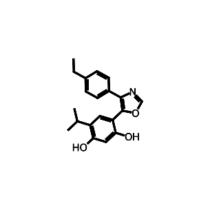 CCc1ccc(-c2ncoc2-c2cc(C(C)C)c(O)cc2O)cc1